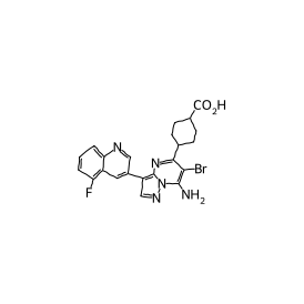 Nc1c(Br)c(C2CCC(C(=O)O)CC2)nc2c(-c3cnc4cccc(F)c4c3)cnn12